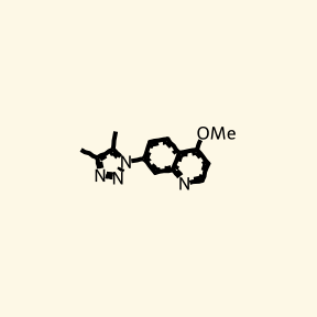 COc1ccnc2cc(-n3nnc(C)c3C)ccc12